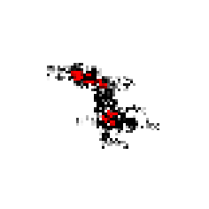 CCCCCCc1csc(-c2ccc(-c3cc(CCCCCC)c(-c4ccc5c(c4)C4(c6cc(-c7sc(-c8ccc(-c9cc(CCCCCC)cs9)c9nsnc89)cc7CCCCCC)ccc6-5)c5cc(-c6sc(-c7ccc(-c8cc(CCCCCC)cs8)c8nsnc78)cc6CCCCCC)ccc5-c5ccc(-c6sc(-c7ccc(-c8cc(CCCCCC)cs8)c8nsnc78)cc6CCCCCC)cc54)s3)c3nsnc23)c1